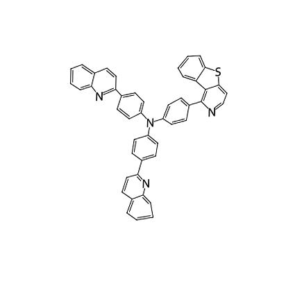 c1ccc2nc(-c3ccc(N(c4ccc(-c5ccc6ccccc6n5)cc4)c4ccc(-c5nccc6sc7ccccc7c56)cc4)cc3)ccc2c1